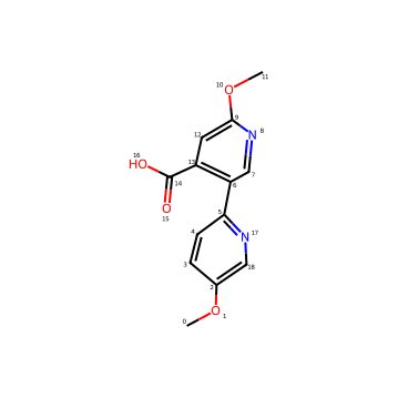 COc1ccc(-c2cnc(OC)cc2C(=O)O)nc1